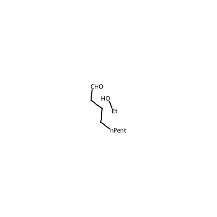 CCCCCCCCC=O.CCO